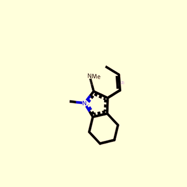 C/C=C\c1c2c(n(C)c1NC)CCCC2